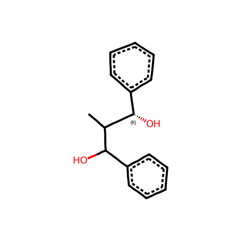 CC(C(O)c1ccccc1)[C@@H](O)c1ccccc1